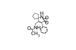 CC(=O)NCC1=C(c2ccccc2)S(=O)(=O)NC12CCCC2